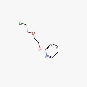 ClCCOCCOc1ccccn1